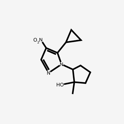 CC1(O)CCCC1n1ncc([N+](=O)[O-])c1C1CC1